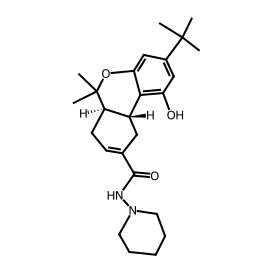 CC(C)(C)c1cc(O)c2c(c1)OC(C)(C)[C@@H]1CC=C(C(=O)NN3CCCCC3)C[C@@H]21